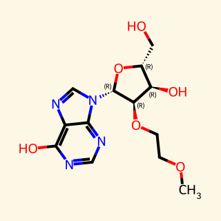 COCCO[C@@H]1[C@H](O)[C@@H](CO)O[C@H]1n1cnc2c(O)ncnc21